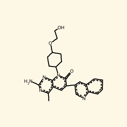 Cc1nc(N)nc2c1cc(-c1cnc3ccccc3c1)c(=O)n2C1CCC(OCCO)CC1